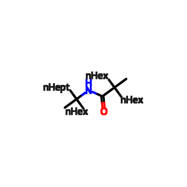 CCCCCCCC(C)(CCCCCC)NC(=O)C(C)(CCCCCC)CCCCCC